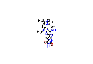 Cc1c2ccc(N(C)c3nc(NC4CC4)n4ncc(/C=C5\NC(=O)NC5=O)c4n3)cc2nn1C